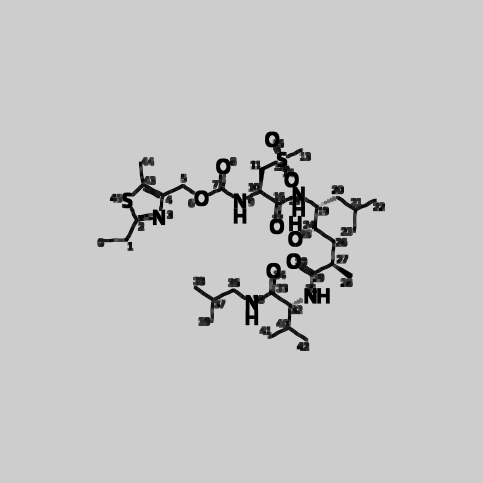 CCc1nc(COC(=O)N[C@@H](CS(C)(=O)=O)C(=O)N[C@H](CC(C)C)[C@@H](O)C[C@@H](C)C(=O)N[C@@H](C(=O)NCC(C)C)C(C)C)c(C)s1